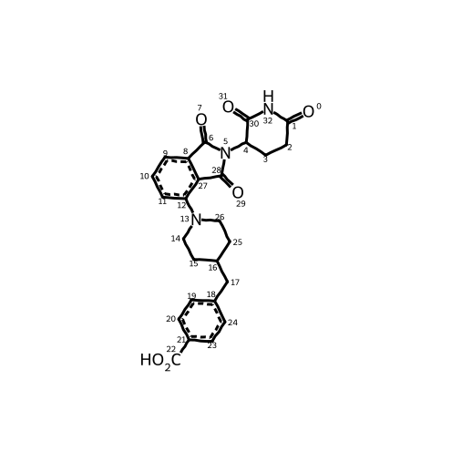 O=C1CCC(N2C(=O)c3cccc(N4CCC(Cc5ccc(C(=O)O)cc5)CC4)c3C2=O)C(=O)N1